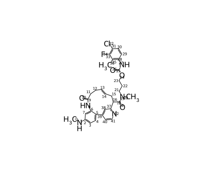 CNc1ccc2c(c1)NC(=O)CC/C=C/CC(C(=O)N(C)CCCOC(=O)Nc1ccc(Cl)c(F)c1C)c1cc-2ccn1